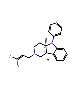 CC(Cl)=CCN1CC[C@H]2[C@H](C1)c1ccccc1N2c1ccccc1